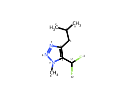 CC(C)Cc1nnn(C)c1C(F)F